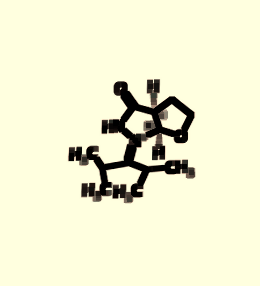 CC(C)C(C(C)C)=[N+]1NC(=O)[C@H]2CCO[C@H]21